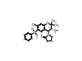 CC1(C)Oc2cc(Cl)c(S(=O)(=O)c3ccccc3)cc2[C@H](N2CCCC2=O)[C@H]1O